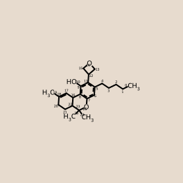 CCCCCc1cc2c(c(O)c1C1COC1)C1C=C(C)CCC1C(C)(C)O2